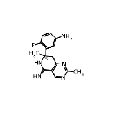 Cc1ncc2c(n1)C[C@@](C)(c1cc(N)ccc1F)NC2=N